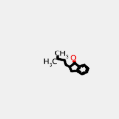 CC(C)CCC1Cc2ccccc2C1=O